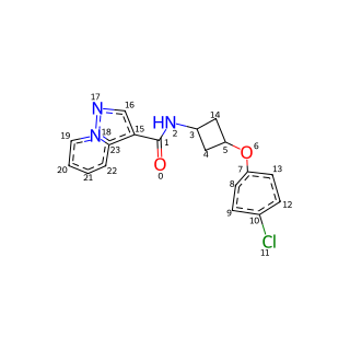 O=C(NC1CC(Oc2ccc(Cl)cc2)C1)c1cnn2ccccc12